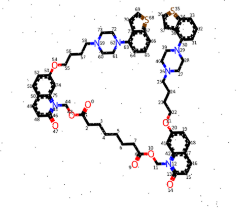 O=C(CCCCCCC(=O)OCn1c(=O)ccc2ccc(OCCCCN3CCN(c4cccc5sccc45)CC3)cc21)OCn1c(=O)ccc2ccc(OCCCCN3CCN(c4cccc5sccc45)CC3)cc21